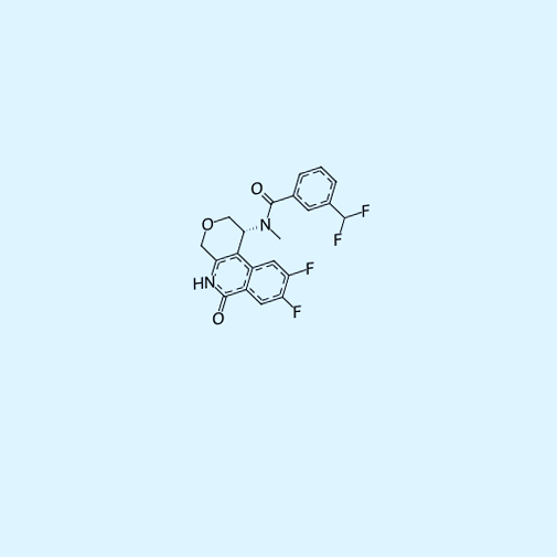 CN(C(=O)c1cccc(C(F)F)c1)[C@H]1COCc2[nH]c(=O)c3cc(F)c(F)cc3c21